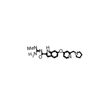 CNC(N)=NC(=O)c1cc2ccc(Oc3ccnc(CN4CCCC4)c3)cc2[nH]1